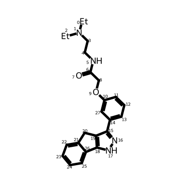 CCN(CC)CCNC(=O)COc1cccc(-c2n[nH]c3c2Cc2ccccc2-3)c1